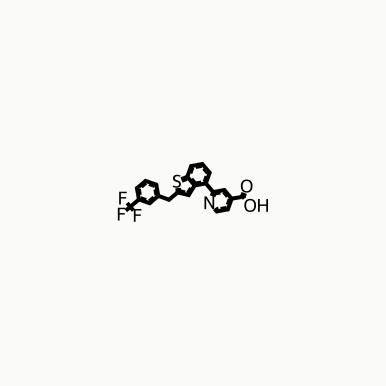 O=C(O)c1ccnc(-c2cccc3sc(Cc4cccc(C(F)(F)F)c4)cc23)c1